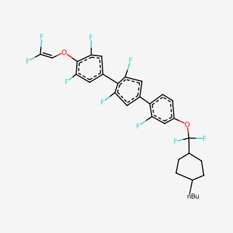 CCCCC1CCC(C(F)(F)Oc2ccc(-c3cc(F)c(-c4cc(F)c(OC=C(F)F)c(F)c4)c(F)c3)c(F)c2)CC1